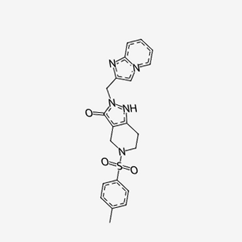 Cc1ccc(S(=O)(=O)N2CCc3[nH]n(Cc4cn5ccccc5n4)c(=O)c3C2)cc1